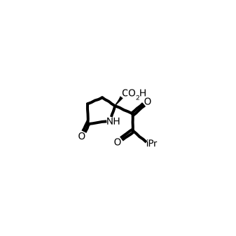 CC(C)C(=O)C(=O)[C@@]1(C(=O)O)CCC(=O)N1